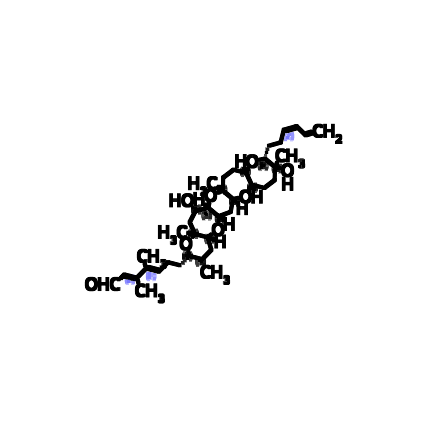 C=C/C=C\CC[C@H]1O[C@H]2CC[C@@]3(C)O[C@H]4[C@@H](O)C[C@@]5(C)O[C@@H](CC/C=C(C)/C(C)=C/C=O)[C@@H](C)C[C@H]5O[C@@H]4C[C@@H]3O[C@@H]2CC[C@@]1(C)O